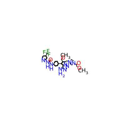 COCC(=O)N1CCN(Cc2c(COC)c(-c3ccc(NC(=O)Nc4cc(C(F)(F)F)ccn4)cc3)c3c(N)ncnn23)CC1